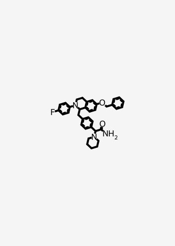 NC(=O)C(c1ccc(CC2c3ccc(OCc4ccccc4)cc3CCN2c2ccc(F)cc2)cc1)N1CCCCC1